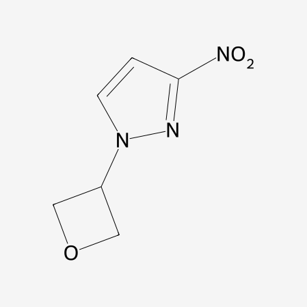 O=[N+]([O-])c1ccn(C2COC2)n1